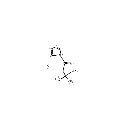 CC(C)(C)OC(=O)n1cccc1.[K]